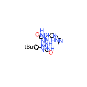 Cc1ncc(CN2CCC(Nc3nc(Nc4nc(-c5ccc(C(C)(C)C)cc5)nc5cc(=O)[nH]n45)nc4cc(=O)[nH]n34)CC2)[nH]1